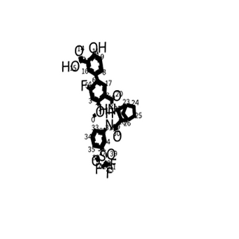 COc1cc(F)c(-c2ccc(O)c(C(=O)O)c2)cc1C(=O)NC1C2CCC(C2)C1C(=O)Nc1cccc(S(=O)(=O)C(F)(F)F)c1